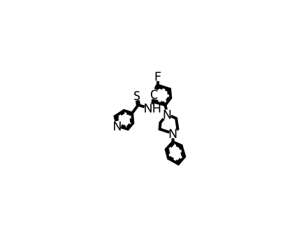 Fc1ccc(N2CCN(c3ccccc3)CC2)c(NC(=S)c2ccncc2)c1